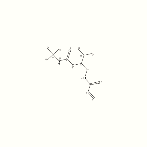 C=CC(=O)OCC(OC(=O)NC(C)(C)C)C(C)C